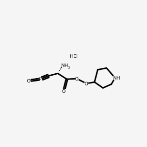 Cl.N[C@@H](C#P=O)C(=O)OOC1CCNCC1